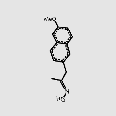 COc1ccc2cc(C/C(C)=N/O)ccc2c1